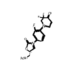 CC(=O)NC[C@H]1CN(c2ccc(N3CCC(=O)C(F)(F)C3)c(F)c2)C(=O)O1